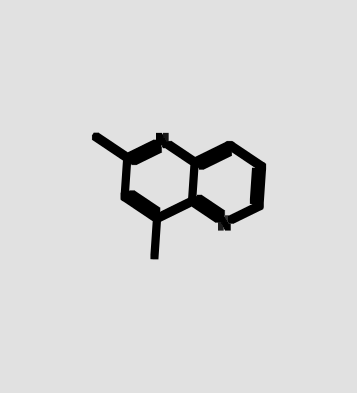 Cc1cc(C)c2ncccc2n1